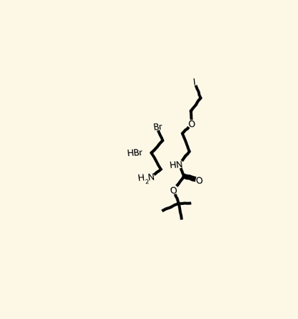 Br.CC(C)(C)OC(=O)NCCOCCI.NCCCBr